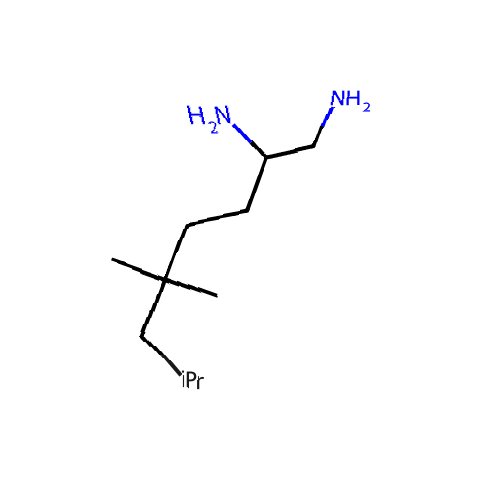 CC(C)CC(C)(C)CCC(N)CN